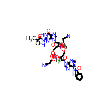 CC(C)C(=O)Nc1nc2c(ncn2C2C[C@]3(C)C(COP(=O)(OCCC#N)O[C@@H]4C(COP3(=O)OCCC#N)OC(n3cnc5c(NC(=O)c6ccccc6)ncnc53)[C@@H]4F)O2)c(=O)[nH]1